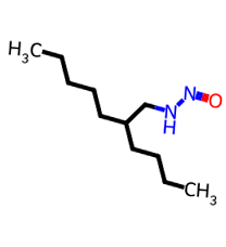 CCCCCC(CCCC)CNN=O